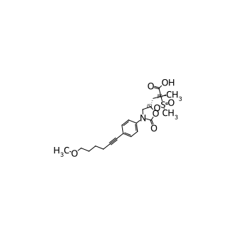 COCCCCC#Cc1ccc(N2C[C@H](C[C@](C)(C(=O)O)S(C)(=O)=O)OC2=O)cc1